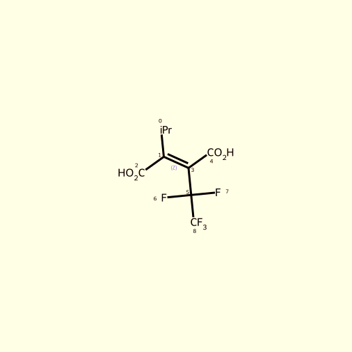 CC(C)/C(C(=O)O)=C(\C(=O)O)C(F)(F)C(F)(F)F